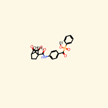 CCOP(=O)(C(=O)c1ccc(NC(=O)C23CCC(C(=O)C2=O)C3(C)C)cc1)c1ccccc1